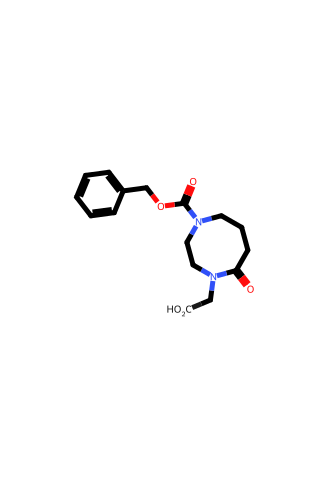 O=C(O)CN1CCN(C(=O)OCc2ccccc2)CCCC1=O